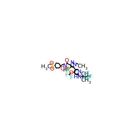 CCn1nc(C(=O)NC[C@]2(O)CC[C@@H](S(C)(=O)=O)CC2)c(Cl)c1-c1cnc(NC(C)(C)C(F)(F)C(F)(F)F)cc1OC(F)F